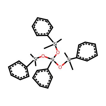 C[Si](C)(O[Si](O[Si](C)(C)c1ccccc1)(O[Si](C)(C)c1ccccc1)c1ccccc1)c1ccccc1